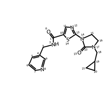 O=C(NCc1cccnc1)c1cnc(N2CCN(CC3CC3)C2=O)s1